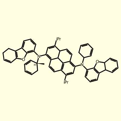 CC(C)C1=CC(N(c2cccc3c4c(oc23)C=CCC4)[C@@]2(C)C=CC=CC2)=C2C=Cc3c(C(C)C)cc(N(c4cccc5c4OC4C=CC=CC54)C4C=CC=CC4)c4c3C2C1C=C4